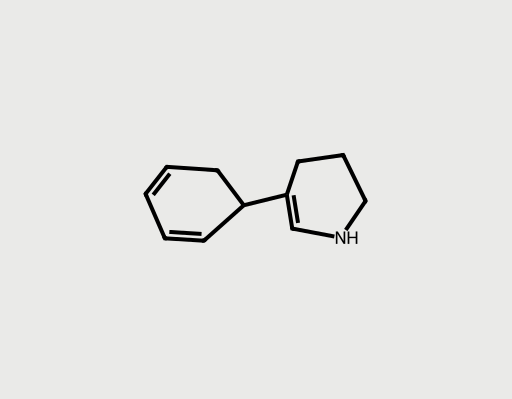 C1=CCC(C2=CNCCC2)C=C1